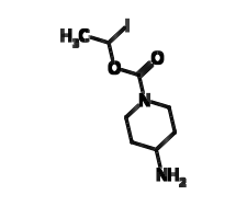 CC(I)OC(=O)N1CCC(N)CC1